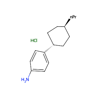 CCC[C@H]1CC[C@H](c2ccc(N)cc2)CC1.Cl